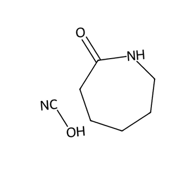 N#CO.O=C1CCCCCN1